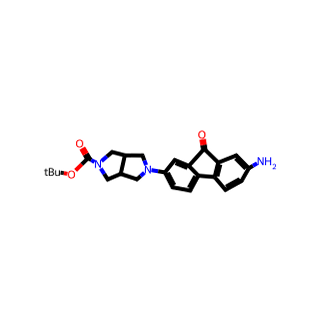 CC(C)(C)OC(=O)N1CC2CN(c3ccc4c(c3)C(=O)c3cc(N)ccc3-4)CC2C1